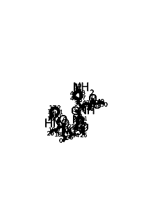 CCCN(C(=O)[C@@H](NC(=O)[C@H]1CCCCN1C)[C@@H](C)CC)[C@H](C[C@@H](OC(C)=O)c1nc(C(=O)N[C@@H](Cc2ccc(N)cc2)CC(C)C(=O)OCC)cs1)C(C)C